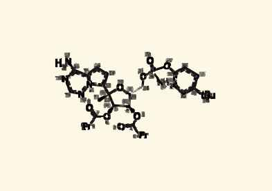 CC(C)C(=O)O[C@H]1[C@@H](OC(=O)C(C)C)[C@](C)(c2ccc3c(N)ncnn23)O[C@@H]1COP(N)(=O)Oc1ccc(C(C)(C)C)cc1